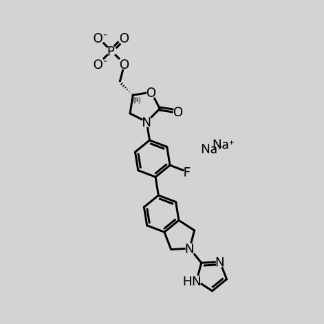 O=C1O[C@@H](COP(=O)([O-])[O-])CN1c1ccc(-c2ccc3c(c2)CN(c2ncc[nH]2)C3)c(F)c1.[Na+].[Na+]